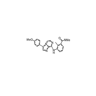 CNC(=O)c1cccc(Nc2nccn3c(-c4ccc(OC)cc4)cnc23)c1C